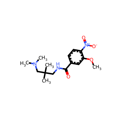 COc1cc(C(=O)NCC(C)(C)CN(C)C)ccc1[N+](=O)[O-]